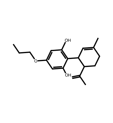 C=C(C)C1CCC(C)=CC1c1c(O)cc(OCCC)cc1O